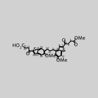 COC(=O)CCC(=O)c1cc2c(CCCc3cc4sc(C(=O)CCC(=O)O)cc4cc3OC)cc(OC)cc2s1